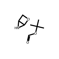 C1OC2NC12.CC(C)(C)OC=O